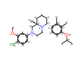 COc1cc(N2CCN3[C@@H](CCC[C@@H]3c3ccc(OC(C)C)c(C)c3C)C2)ccc1Cl